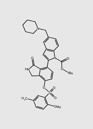 COc1ccc(C)cc1S(=O)(=O)Oc1ccc(-c2cc3cc(CN4CCCCC4)ccc3n2C(=O)OC(C)(C)C)c2c1CNC2=O